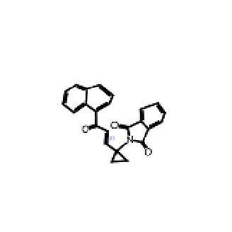 O=C(/C=C/C1(N2C(=O)c3ccccc3C2=O)CC1)c1cccc2ccccc12